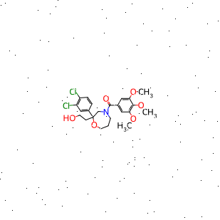 COc1cc(C(=O)N2CCCOC(CCO)(c3ccc(Cl)c(Cl)c3)C2)cc(OC)c1OC